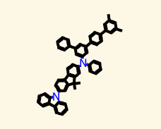 Cc1cc(C)cc(-c2ccc(-c3cc(-c4ccccc4)cc(N(c4ccccc4)c4ccc5c(c4)C(C)(C)c4cc(-n6c7ccccc7c7ccccc76)ccc4-5)c3)cc2)c1